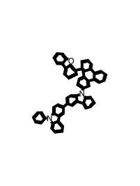 c1ccc(-n2c3ccccc3c3cc(-c4ccc5c(c4)c4ccccc4n5-c4ccc5c(c4)c4ccccc4c4cccc(-c6cccc7c6oc6ccccc67)c45)ccc32)cc1